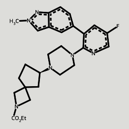 CCOC(=O)N1CC2(CC[C@@H](N3CCN(c4ncc(F)cc4-c4ccc5nn(C)cc5c4)CC3)C2)C1